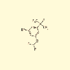 FC(F)Oc1[c]c(Br)cc(C(F)(C(F)(F)F)C(F)(F)F)c1